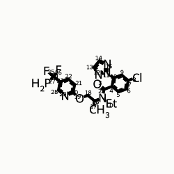 CCN(C(=O)c1ccc(Cl)cc1-n1nccn1)[C@@H](C)COc1ccc(C(F)(F)P)cn1